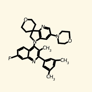 Cc1cc(C)cc(-c2nc3cc(F)ccc3c(N3CC4(CCOCC4)c4ncc(N5CCOCC5)cc43)c2C)c1